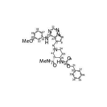 CNC(=O)[C@@H]1CN(Cc2ccn3ncnc(Nc4cccc(OC)c4)c23)CC[C@H]1NC(=O)OCc1ccccc1